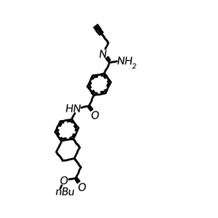 C#CCN=C(N)c1ccc(C(=O)Nc2ccc3c(c2)CC(CC(=O)OCCCC)CC3)cc1